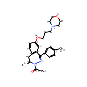 CNC(=O)N1N=C(c2ccc(C)cc2)c2cc(OCCCN3CCOCC3)ccc2CC1C